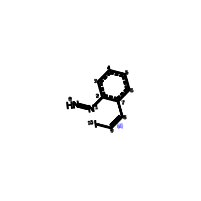 N=Nc1ccccc1/C=C\I